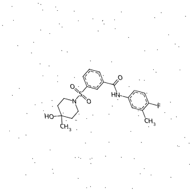 Cc1cc(NC(=O)c2cccc(S(=O)(=O)N3CCC(C)(O)CC3)c2)ccc1F